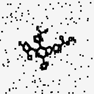 COC(=O)NC[C@]1(F)CC2=C(c3ccn(C(F)F)n3)[C@H](c3ccc(F)cc3Cl)N=C(c3nccs3)N2C1